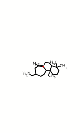 CC1(C)CCC[C@@]2(C)C1CC[C@@]13CN[C@@H]1CC(CN)CCC23